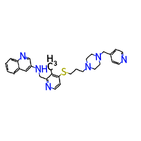 Cc1c(SCCCN2CCN(Cc3ccncc3)CC2)ccnc1CNc1cnc2ccccc2c1